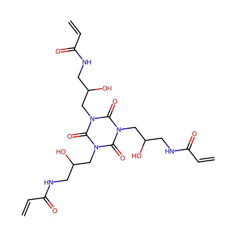 C=CC(=O)NCC(O)Cn1c(=O)n(CC(O)CNC(=O)C=C)c(=O)n(CC(O)CNC(=O)C=C)c1=O